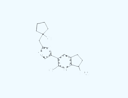 COC1CCc2cc(-c3cnc(CC4(C)CCCC4)o3)c(Cl)nc21